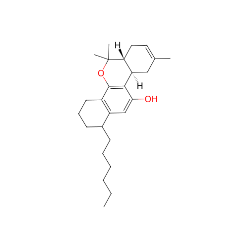 CCCCCCC1CCCc2c1cc(O)c1c2OC(C)(C)[C@@H]2CC=C(C)C[C@@H]12